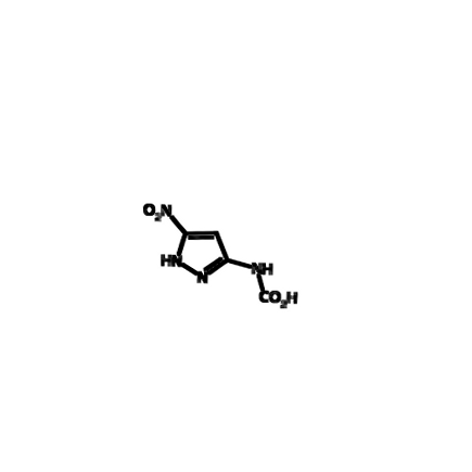 O=C(O)Nc1cc([N+](=O)[O-])[nH]n1